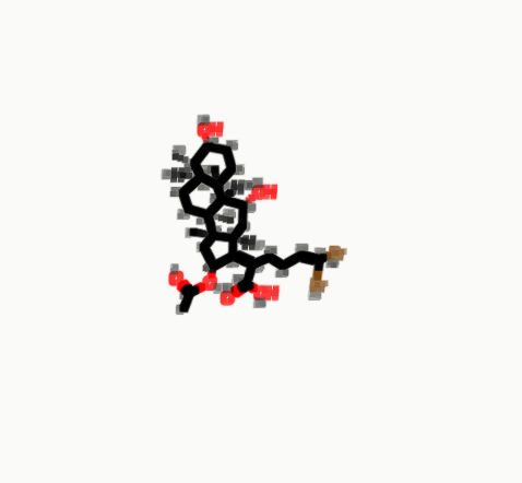 CC(=O)O[C@H]1C[C@@]2(C)[C@@H](C[C@@H](O)[C@H]3[C@@]4(C)CC[C@@H](O)[C@@H](C)[C@@H]4CC[C@@]32C)/C1=C(\CCC=C(Br)Br)C(=O)O